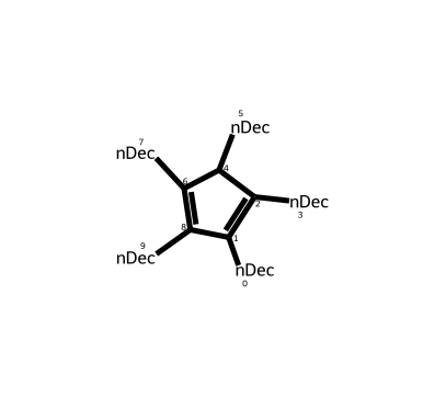 CCCCCCCCCCC1=C(CCCCCCCCCC)C(CCCCCCCCCC)C(CCCCCCCCCC)=C1CCCCCCCCCC